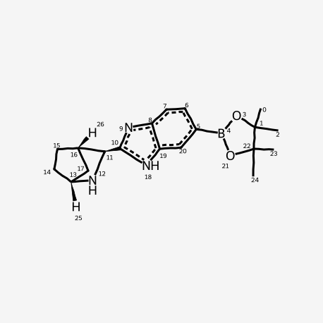 CC1(C)OB(c2ccc3nc([C@H]4N[C@@H]5CC[C@H]4C5)[nH]c3c2)OC1(C)C